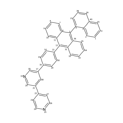 c1ccc2c(-c3c4ccccc4c(-c4ccc(-c5cncc(-c6ccncc6)c5)cc4)c4ccccc34)cccc2c1